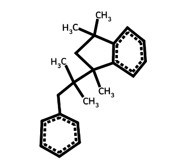 CC1(C)CC(C)(C(C)(C)Cc2ccccc2)c2ccccc21